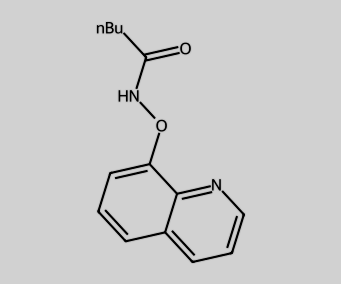 CCCCC(=O)NOc1cccc2cccnc12